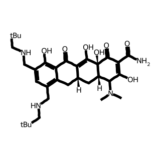 CN(C)C1C(O)=C(C(N)=O)C(=O)[C@@]2(O)C(O)=C3C(=O)c4c(O)c(CNCC(C)(C)C)cc(CNCC(C)(C)C)c4C[C@H]3C[C@@H]12